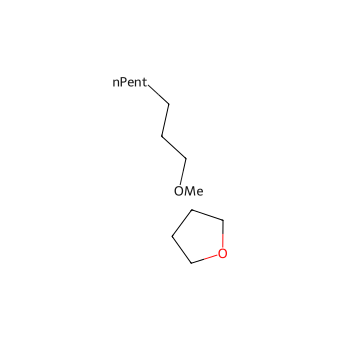 C1CCOC1.CCCCCCCCOC